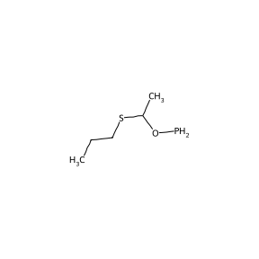 CCCSC(C)OP